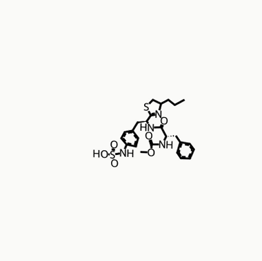 CCCC1CSC([C@H](Cc2ccc(NS(=O)(=O)O)cc2)NC(=O)[C@H](Cc2ccccc2)NC(=O)OC)=N1